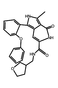 Cc1[nH]c(-c2ccccc2Oc2ccccc2)c2cc(C(=O)NCC3CCOC3)[nH]c(=O)c12